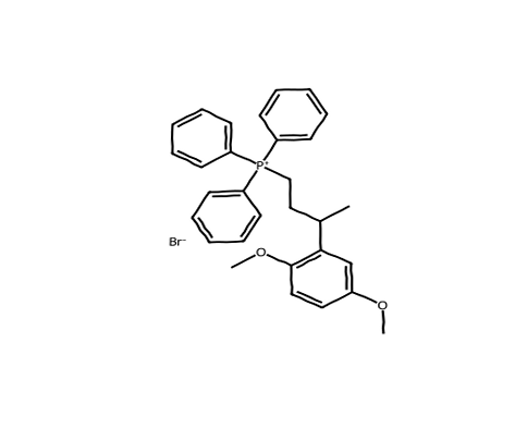 COc1ccc(OC)c(C(C)CC[P+](c2ccccc2)(c2ccccc2)c2ccccc2)c1.[Br-]